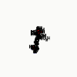 C/C=C(/C)C(=O)O[C@H]1[C@H](OC(=O)/C(C)=C\C)[C@@]2(CO)C(CC1(C)C)C1=CCC3[C@@]4(C)CC[C@H](O[C@@H]5OC(C(=O)O)[C@@H](O)[C@@H](CO[C@@H]6O[C@@H](CO)C(O)[C@@H]6O)C5O[C@@H]5OC(C)(CO)[C@H](O)[C@@H](O)C5O)C(C)(C)C4CC[C@@]3(C)[C@]1(C)C[C@H]2O